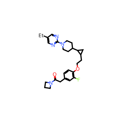 CCc1cnc(N2CCC(C3CC3CCOc3ccc(CC(=O)N4CCC4)cc3F)CC2)nc1